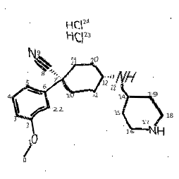 COc1cccc([C@]2(C#N)CC[C@@H](NC3CCNCC3)CC2)c1.Cl.Cl